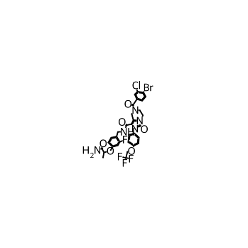 CC(Oc1ccc(CNC(=O)c2c3n(c(=O)n2-c2ccc(OCC(F)(F)F)cc2)CCN(C(=O)c2ccc(Br)c(Cl)c2)C3)c(F)c1)C(N)=O